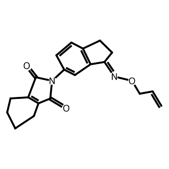 C=CCON=C1CCc2ccc(N3C(=O)C4=C(CCCC4)C3=O)cc21